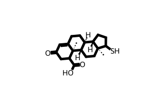 C[C@]12CC[C@H]3[C@@H](CCC4=CC(=O)CC(C(=O)O)[C@@]43C)[C@@H]1CCC2S